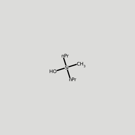 CCC[Si](C)(O)CCC